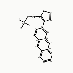 C[Si](C)(C)[CH2][Pt][C]1=C(c2ccc3cc4ccccc4cc3c2)C=CC1